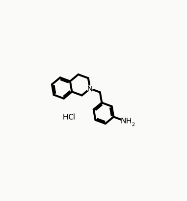 Cl.Nc1cccc(CN2CCc3ccccc3C2)c1